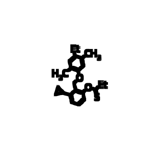 CCC(=S)Oc1cccc(C2CC2)c1COc1cc(C)c(CC)cc1C